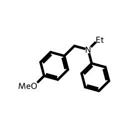 CCN(Cc1ccc(OC)cc1)c1ccccc1